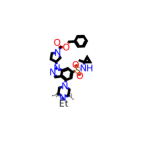 CCN1[C@H](C)CN(c2cc(S(=O)(=O)NC3(C)CC3)cc3c2cnn3C2CCN(C(=O)OCc3ccccc3)C2)C[C@@H]1C